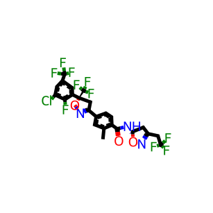 Cc1cc(C2=NO[C@@](c3cc(C(F)(F)F)cc(Cl)c3F)(C(F)(F)F)C2)ccc1C(=O)N[C@H]1CC(CC(F)(F)F)=NO1